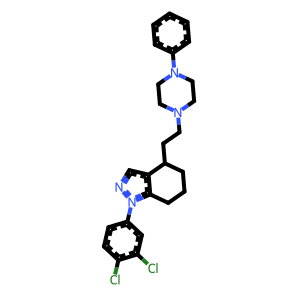 Clc1ccc(-n2ncc3c2CCCC3CCN2CCN(c3ccccc3)CC2)cc1Cl